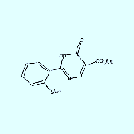 CCOC(=O)c1cnc(-c2ccccc2SC)[nH]c1=O